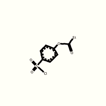 CCC(=O)Oc1ccc(S(=O)(=O)Cl)cc1